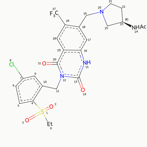 CCS(=O)(=O)c1ccc(Cl)cc1Cn1c(=O)[nH]c2cc(CN3CC[C@@H](NC(C)=O)C3)c(C(F)(F)F)cc2c1=O